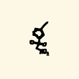 Cc1csc(S(=O)(=O)C[N+](=O)[O-])c1